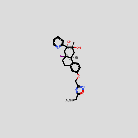 CC[C@@]12C[C@@](C)(O)[C@](O)(c3ccccn3)C[C@@]1(I)CCc1cc(OCc3noc(CNC(C)=O)n3)ccc12